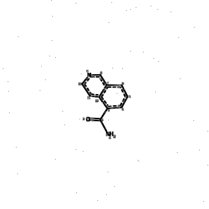 NC(=O)c1cccc2cnccc12